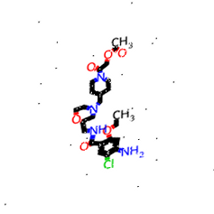 CCOc1cc(N)c(Cl)cc1C(=O)NCC1CN(CC2CCN(C(=O)COC(C)=O)CC2)CCO1